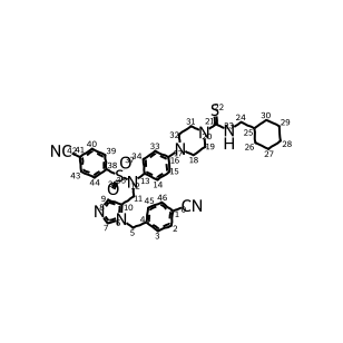 N#Cc1ccc(Cn2cncc2CN(c2ccc(N3CCN(C(=S)NCC4CCCCC4)CC3)cc2)S(=O)(=O)c2ccc(C#N)cc2)cc1